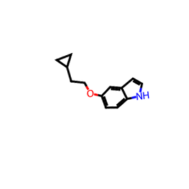 c1cc2cc(OCCC3CC3)ccc2[nH]1